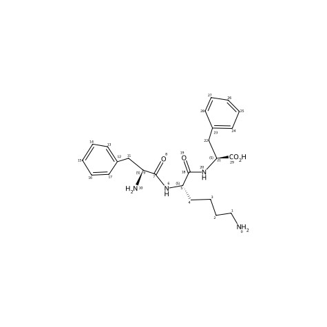 NCCCC[C@H](NC(=O)[C@@H](N)Cc1ccccc1)C(=O)N[C@@H](Cc1ccccc1)C(=O)O